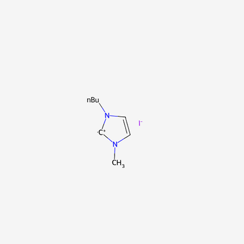 CCCCN1[C+]N(C)C=C1.[I-]